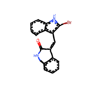 O=C1Nc2ccccc2C1=Cc1c(Br)[nH]c2ccccc12